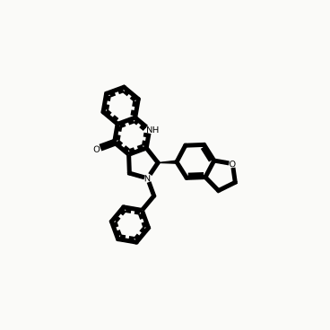 O=c1c2c([nH]c3ccccc13)[C@@H](C1C=C3CCOC3=CC1)N(Cc1ccccc1)C2